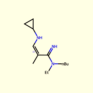 CCCCN(CC)C(=N)/C(C)=C\NC1CC1